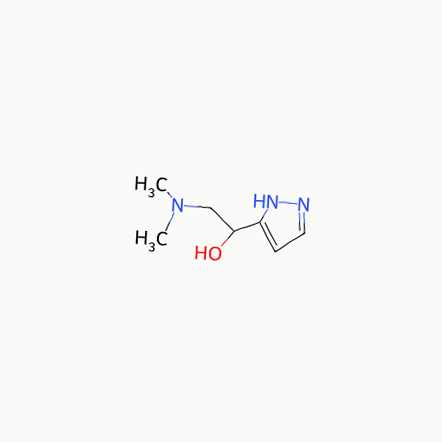 CN(C)CC(O)c1ccn[nH]1